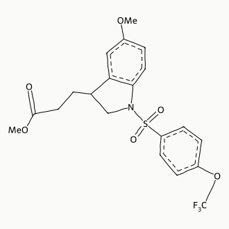 COC(=O)CCC1CN(S(=O)(=O)c2ccc(OC(F)(F)F)cc2)c2ccc(OC)cc21